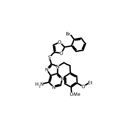 CCOc1cc(CCn2c(SC3=COC(c4ccccc4Br)O3)nc3c(N)ncnc32)ccc1OC